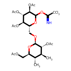 CC(=O)OC[C@H]1O[C@@H](OC[C@H]2OC(OC(=N)C(Cl)(Cl)Cl)[C@H](OC(C)=O)[C@@H](OC(C)=O)[C@@H]2OC(C)=O)[C@H](OC(C)=O)[C@@H](C)[C@@H]1C